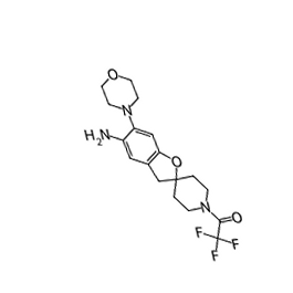 Nc1cc2c(cc1N1CCOCC1)OC1(CCN(C(=O)C(F)(F)F)CC1)C2